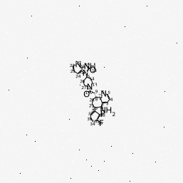 N[C@@H]1c2cccnc2[C@@H](CC(=O)N2CCC(n3c(=O)[nH]c4ncccc43)CC2)CC[C@H]1c1cccc(F)c1F